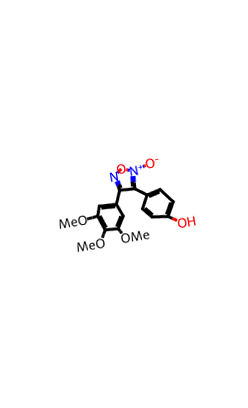 COc1cc(-c2no[n+]([O-])c2-c2ccc(O)cc2)cc(OC)c1OC